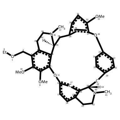 CCOCc1c2c3c(c(OC)c1OC)Oc1ccc4c(c1)[C@H](Cc1ccc(cc1)Oc1cc(ccc1OC)C[C@@H]3N(C)CC2)N(C)CC4